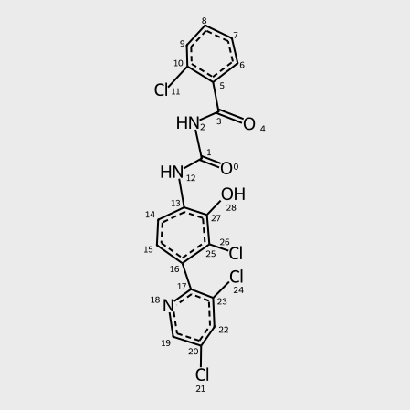 O=C(NC(=O)c1ccccc1Cl)Nc1ccc(-c2ncc(Cl)cc2Cl)c(Cl)c1O